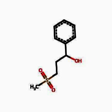 CS(=O)(=O)CCC(O)c1ccccc1